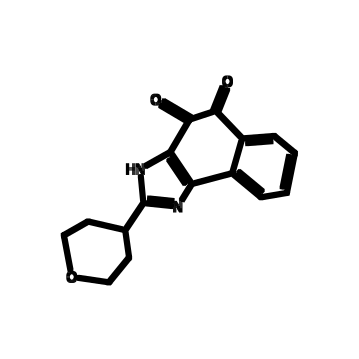 O=C1C(=O)c2[nH]c(C3CCOCC3)nc2-c2ccccc21